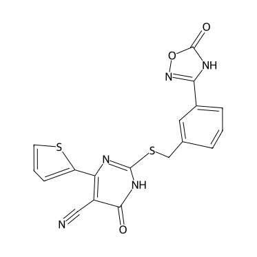 N#Cc1c(-c2cccs2)nc(SCc2cccc(-c3noc(=O)[nH]3)c2)[nH]c1=O